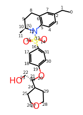 CCc1ccc2c(c1)CC[C@H](C)N2S(=O)(=O)c1ccc(O[C@@H](CO)C2CCOCC2)cc1